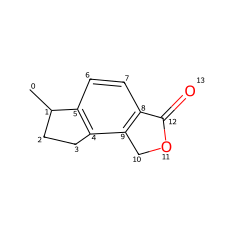 CC1CCc2c1ccc1c2COC1=O